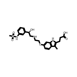 Cc1c(CCC(=O)O)[nH]c2cc(OCCNC[C@H](O)c3cccc(NS(C)(=O)=O)c3)ccc12